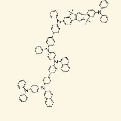 CC1(C)c2cc(N(c3ccccc3)c3ccccc3)ccc2-c2cc3c(cc21)-c1ccc(N(c2ccccc2)c2ccc(-c4ccc(N(c5ccccc5)c5ccc(N(c6ccc(-c7ccc(N(c8ccc(N(c9ccccc9)c9ccccc9)cc8)c8ccc9ccccc9c8)cc7)cc6)c6cccc7ccccc67)cc5)cc4)cc2)cc1C3(C)C